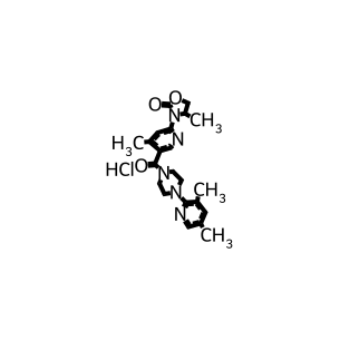 Cc1cnc(N2CCN(C(=O)c3cnc(N4C(=O)OCC4C)cc3C)CC2)c(C)c1.Cl